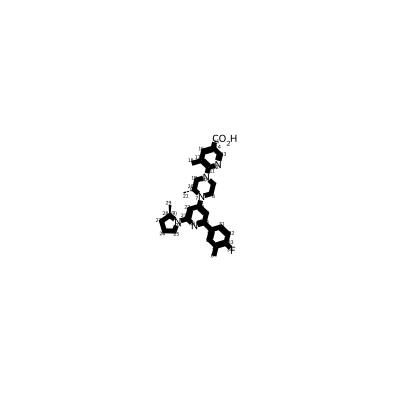 Cc1cc(-c2cc(N3CCN(c4ncc(C(=O)O)cc4C)C[C@H]3C)cc(N3CCC[C@H]3C)n2)ccc1F